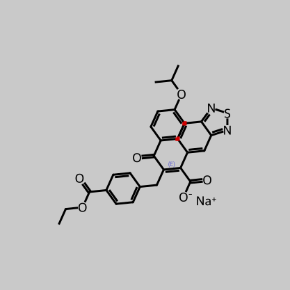 CCOC(=O)c1ccc(C/C(C(=O)c2ccc(OC(C)C)cc2)=C(\C(=O)[O-])c2ccc3nsnc3c2)cc1.[Na+]